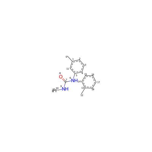 Cc1cccc(NC(=O)NC(C)C)c1.Cc1ccccc1